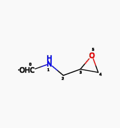 O=[C]NCC1CO1